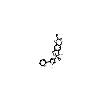 O=S(=O)(Nc1cc(F)c(OC(F)F)cc1F)c1c[nH]c(-c2ccccn2)c1